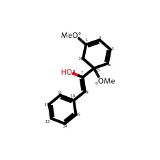 COC1=CC=CC(OC)(/C(O)=C/c2ccccc2)C1